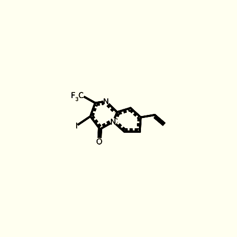 C=Cc1ccn2c(=O)c(I)c(C(F)(F)F)nc2c1